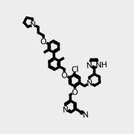 Cc1c(COc2cc(OCc3cncc(C#N)c3)c(CN3CCCC(c4ncc[nH]4)C3)cc2Cl)cccc1-c1cccc(OCCCN2CCCC2)c1C